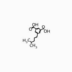 CC(C)CCCc1cc(C(=O)O)cc(C(=O)O)c1